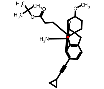 COC1CCC2(CC1)Cc1ccc(C#CC3CC3)cc1C21N=C(N)N(CCC(=O)OC(C)(C)C)C1=O